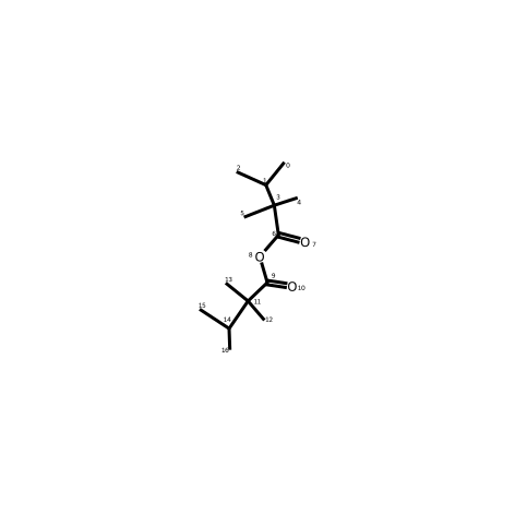 CC(C)C(C)(C)C(=O)OC(=O)C(C)(C)C(C)C